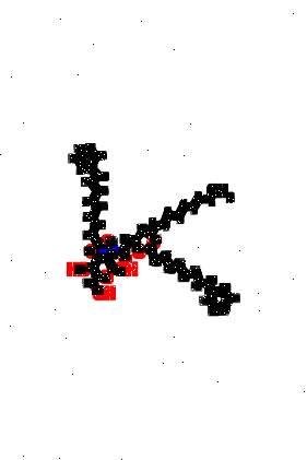 CCCCCCCCCCC[C@H](CC(=O)N[C@@H]1[C@@H](OC(=O)CCCCCCCCc2ccccc2)[C@H](O)[C@@H](CO)O[C@H]1O)OC(=O)CCCCCCCCc1ccccc1